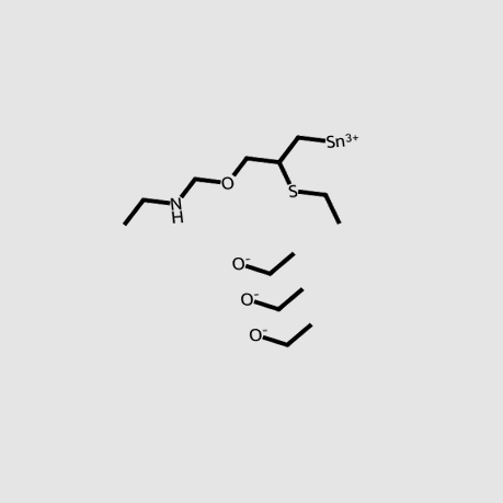 CCNCOCC([CH2][Sn+3])SCC.CC[O-].CC[O-].CC[O-]